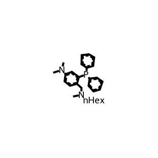 CCCCCCN(C)Cc1ccc(N(C)C)cc1P(c1ccccc1)c1ccccc1